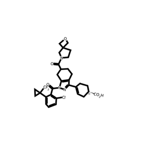 O=C(O)[C@@H]1CC=C(c2nn(C(=O)c3c(Cl)cccc3C3(C(F)(F)F)CC3)c3c2CCC(C(=O)N2CCC4(COC4)C2)C3)CC1